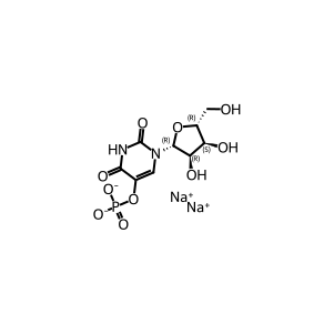 O=c1[nH]c(=O)n([C@@H]2O[C@H](CO)[C@@H](O)[C@H]2O)cc1OP(=O)([O-])[O-].[Na+].[Na+]